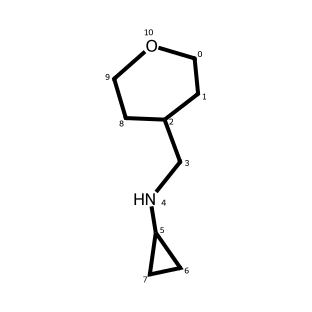 C1CC(CNC2CC2)CCO1